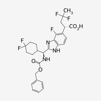 CC(F)(F)C[C@H](C(=O)O)c1ccc2[nH]c([C@@H](NC(=O)OCc3ccccc3)C3CCC(F)(F)CC3)nc2c1F